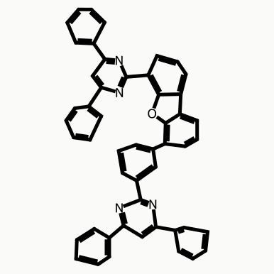 c1ccc(-c2cc(-c3ccccc3)nc(-c3cccc(-c4cccc5c4oc4c(-c6nc(-c7ccccc7)cc(-c7ccccc7)n6)cccc45)c3)n2)cc1